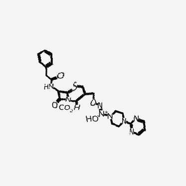 O=C(Cc1ccccc1)NC1C(=O)N2C(C(=O)O)=C(CO/N=[N+](\O)N3CCN(c4ncccn4)CC3)CSC12